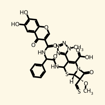 CO[C@@]1(C=S)C(=O)N2C(C(=O)O)=C(c3nnnn3C)C(NC(=O)C(NC(=O)c3coc4cc(O)c(O)cc4c3=O)c3ccccc3)S[C@H]21